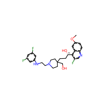 COc1ccc2ncc(F)c([C@@H](O)CCC3(CO)CCN(CCNc4cc(F)cc(F)c4)CC3)c2c1